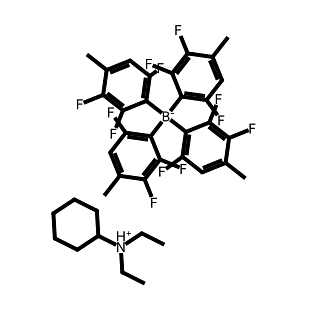 CC[NH+](CC)C1CCCCC1.Cc1cc(F)c([B-](c2c(F)cc(C)c(F)c2F)(c2c(F)cc(C)c(F)c2F)c2c(F)cc(C)c(F)c2F)c(F)c1F